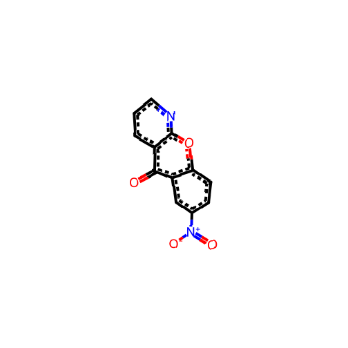 O=c1c2cc([N+](=O)[O-])ccc2oc2ncccc12